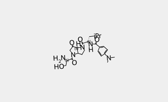 CC(C)C[C@H](NC(=O)c1ccc(N(C)C)cc1)C(=O)N1CCC2[C@H]1C(=O)CN2C(=O)[C@@H](N)CO